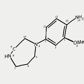 COc1cc(N2CCCNCC2)ccc1N